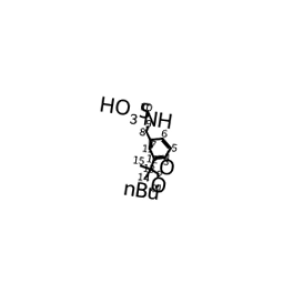 CCCCOC1Oc2ccc(CNS(=O)(=O)O)cc2C1(C)C